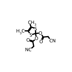 CC1=C(C)SC(OC(=O)CC#N)(OC(=O)CC#N)S1